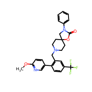 COc1ccc(-c2ccc(C(F)(F)F)cc2CN2CCC3(CC2)CN(c2ccccc2)C(=O)O3)cn1